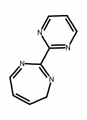 C1=CCN=C(c2ncccn2)N=C1